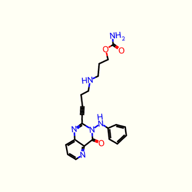 NC(=O)OCCCNCCC#Cc1nc2cccnc2c(=O)n1Nc1ccccc1